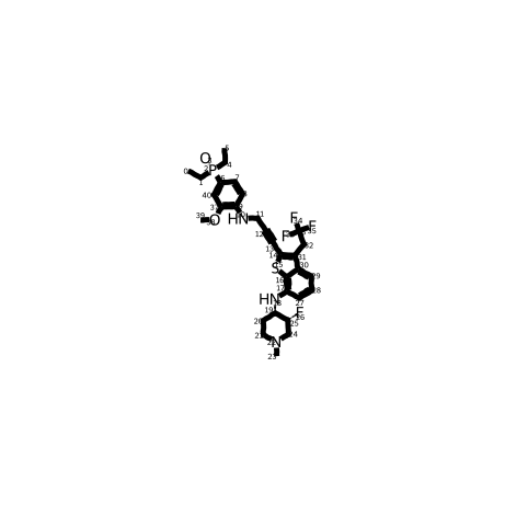 CCP(=O)(CC)c1ccc(NCC#Cc2sc3c(N[C@H]4CCN(C)C[C@H]4F)cccc3c2CC(F)(F)F)c(OC)c1